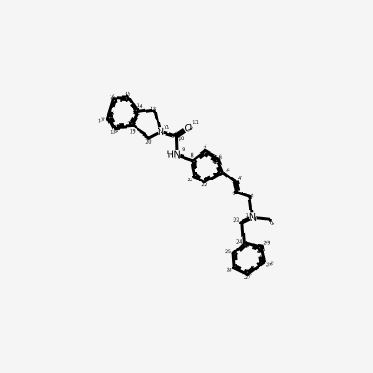 CN(CC=Cc1ccc(NC(=O)N2Cc3ccccc3C2)cc1)Cc1ccccc1